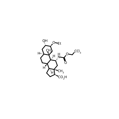 CCO[C@H]1C[C@@]2(C)[C@@H](CC[C@@H]3[C@@H]2[C@H](NC(=O)OCC(Cl)(Cl)Cl)C[C@]2(C)[C@@H](C(=O)O)CC[C@@H]32)C[C@@H]1O